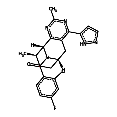 Cc1nc(-c2ccn[nH]2)c2c(n1)[C@H]1[C@H](C)CC[C@@H](C2)N1C(=O)c1ccc(F)cc1Cl